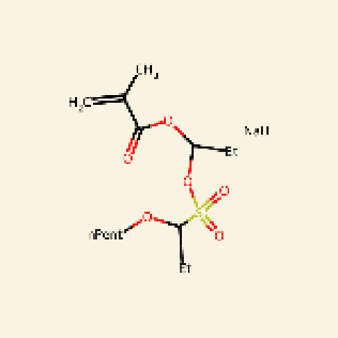 C=C(C)C(=O)OC(CC)OS(=O)(=O)C(CC)OCCCCC.[NaH]